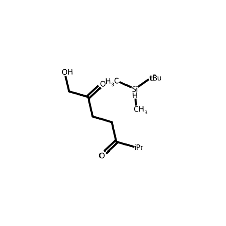 CC(C)C(=O)CCC(=O)CO.C[SiH](C)C(C)(C)C